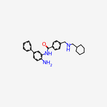 Nc1ccc(-c2ccccc2)cc1NC(=O)c1ccc(CNCC2CCCCC2)cc1